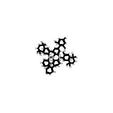 Cc1cc(C)c(-c2cc3c4c(c2)N(c2cc5c(cc2C)C(C)(C)CCC5(C)C)c2ccc5c(sc6ccccc65)c2B4N(c2ccccc2)c2cc4c(cc2-3)C(C)(C)CCC4(C)C)c(C)c1